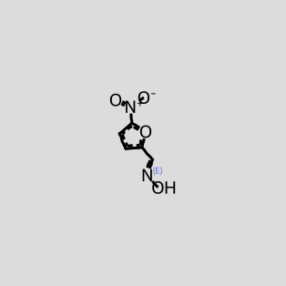 O=[N+]([O-])c1ccc(/C=N/O)o1